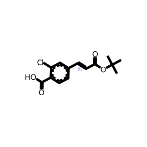 CC(C)(C)OC(=O)/C=C/c1ccc(C(=O)O)c(Cl)c1